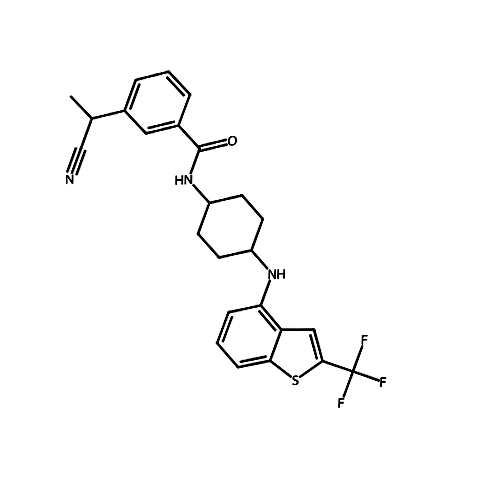 CC(C#N)c1cccc(C(=O)NC2CCC(Nc3cccc4sc(C(F)(F)F)cc34)CC2)c1